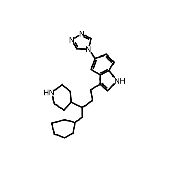 c1cc2[nH]cc(CCC(CC3CCCCC3)C3CCNCC3)c2cc1-n1cnnc1